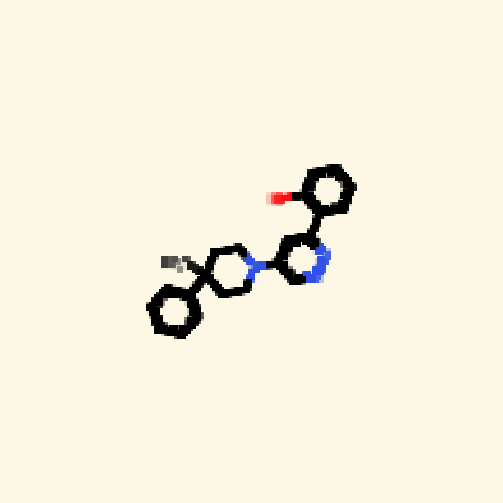 O=C(O)C1(c2ccccc2)CCN(c2cnnc(-c3ccccc3O)c2)CC1